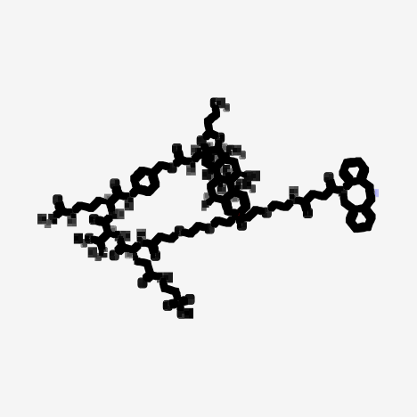 CCCC1O[C@@H]2C[C@H]3[C@@H]4C[C@H](F)C5=CC(=O)C=C[C@]5(C)[C@@]4(F)[C@@H](O)C[C@]3(C)[C@]2(C(=O)CNC(=O)OCc2ccc(NC(=O)[C@H](CCCNC(N)=O)NC(=O)[C@@H](NC(=O)[C@@H](CCC(=O)NCCS(=O)(=O)O)NC(=O)CCOCCOCCOCCOCCNC(=O)CCC(=O)N3Cc4ccccc4/C=C\c4ccccc43)C(C)C)cc2)O1